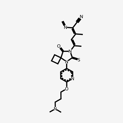 C=N/C(C#N)=C(C)\C=C(/C)N1C(=O)C2(CCC2)N(c2ccc(OCCCN(C)C)nc2)C1=S